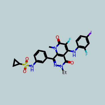 CCn1nc(-c2cccc(NS(=O)(=O)C3CC3)c2)c2c(c(Nc3ccc(I)cc3F)c(F)c(=O)n2C)c1=O